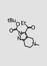 CCC(=O)c1c2c(nn1C(=O)OC(C)(C)C)CCN(C)C2